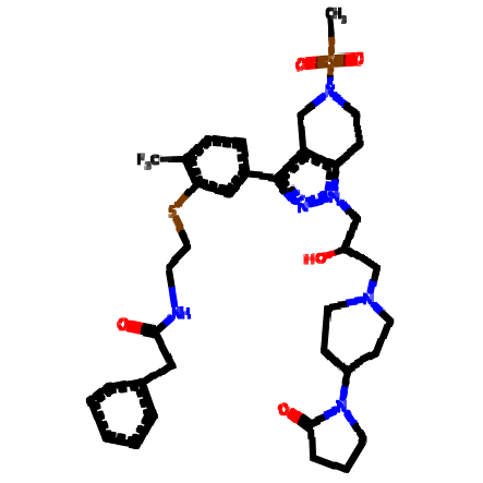 CS(=O)(=O)N1CCc2c(c(-c3ccc(C(F)(F)F)c(SCCNC(=O)Cc4ccccc4)c3)nn2CC(O)CN2CCC(N3CCCC3=O)CC2)C1